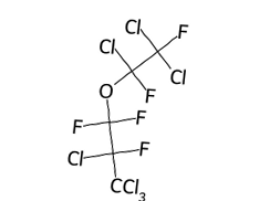 FC(Cl)(Cl)C(F)(Cl)OC(F)(F)C(F)(Cl)C(Cl)(Cl)Cl